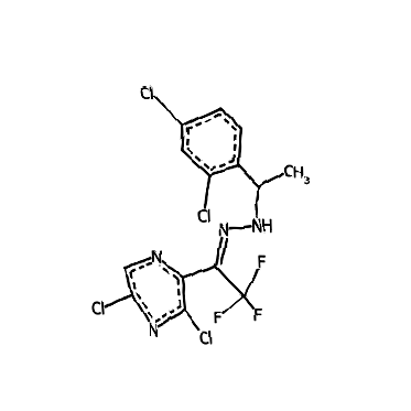 CC(NN=C(c1ncc(Cl)nc1Cl)C(F)(F)F)c1ccc(Cl)cc1Cl